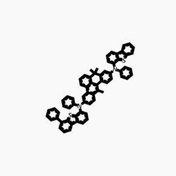 Cc1c2c3c(cccc3c3cc(N(c4ccccc4)c4cccc5c4sc4c(-c6ccccc6)cccc45)ccc13)C(C)(C)c1cc(N(c3ccccc3)c3cccc4c3sc3ccccc34)ccc1-2